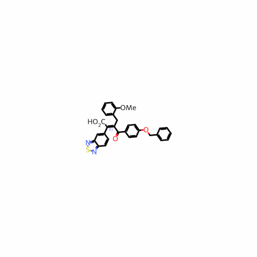 COc1ccccc1C/C(C(=O)c1ccc(OCc2ccccc2)cc1)=C(\C(=O)O)c1ccc2nsnc2c1